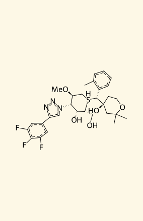 CO[C@H]1C[SH]([C@H](c2ccccc2C)[C@]2(O)CCOC(C)(C)C2)[C@H](CO)[C@H](O)[C@@H]1n1cc(-c2cc(F)c(F)c(F)c2)nn1